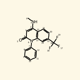 CNc1cc(=O)n(-c2ccccc2)c2cc(C(F)(F)F)ccc12